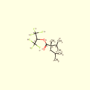 CC(C)C[C@](C)(C(=O)OC(C(F)(F)F)C(F)(F)F)C(C)C